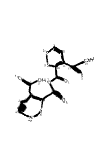 O=C(O)C1=C(C(=O)OC(=O)C2=C(C(=O)O)C=CSS2)SSC=C1